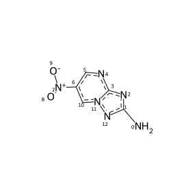 Nc1nc2ncc([N+](=O)[O-])cn2n1